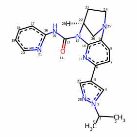 CC(C)n1cc(-c2ccc3c(n2)N(C(=O)Nc2ccccn2)[C@H]2CCN3C2)cn1